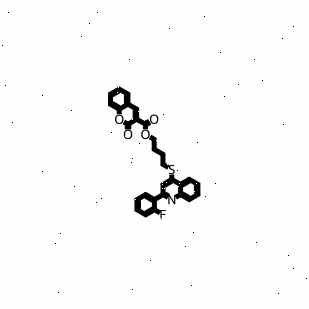 O=C(OCCCCSc1cc(-c2ccccc2F)nc2ccccc12)c1cc2ccccc2oc1=O